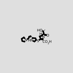 C[C@@H](O)[C@H]1C(=O)N2C(C(=O)O)=C(S[C@@H]3CN[C@H](/C=C\CN4CCCC4)C3)C[C@H]12